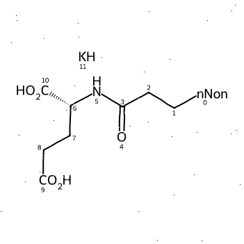 CCCCCCCCCCCC(=O)N[C@H](CCC(=O)O)C(=O)O.[KH]